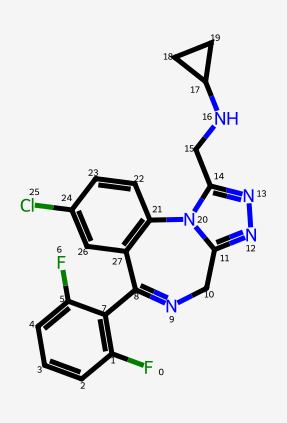 Fc1cccc(F)c1C1=NCc2nnc(CNC3CC3)n2-c2ccc(Cl)cc21